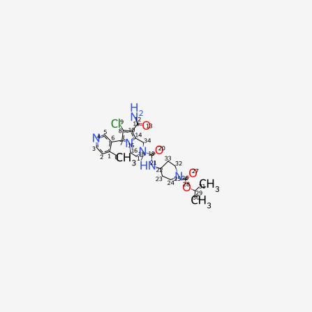 Cc1ccncc1-c1c(Cl)c(C(N)=O)c2n1CCN(C(=O)NC1CCN(C(=O)OC(C)C)CC1)C2